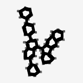 c1ccc(-c2ccc(-c3nc(-n4c5ccccc5c5cc6ccccc6cc54)c4cc(-c5ccccc5)ccc4n3)cc2)cc1